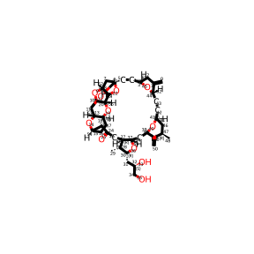 C=C1C[C@@H]2CC[C@@]34C[C@H]5OC6C(O3)[C@H]3O[C@H](CC[C@@H]3O[C@H]6[C@H]5O4)CC(=O)C[C@@H]3[C@@H](C)[C@@H](C[C@H](O)CO)O[C@H]3C[C@H]3O[C@@H](CC[C@@H]1O2)C[C@@H](C)C3=C